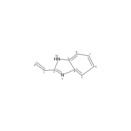 C=[C]c1nc2ccccc2[nH]1